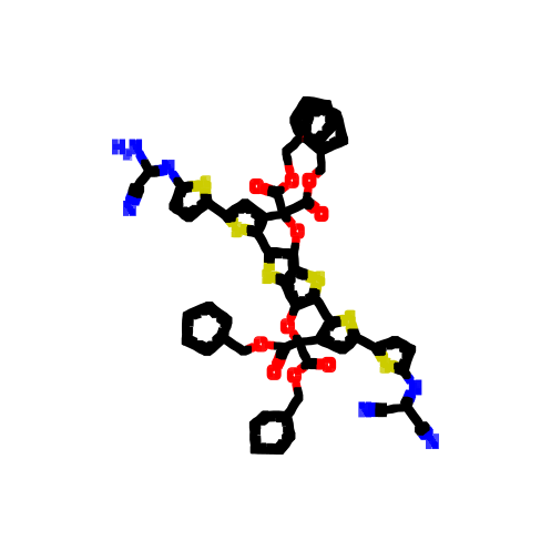 N#CC(C#N)=Nc1ccc(-c2cc3c(s2)-c2sc4c5c(sc4c2OC3(C(=O)OCc2ccccc2)C(=O)OCc2ccccc2)-c2sc(-c3ccc(/N=C(/N)C#N)s3)cc2C(C(=O)OCc2ccccc2)(C(=O)OCc2ccccc2)O5)s1